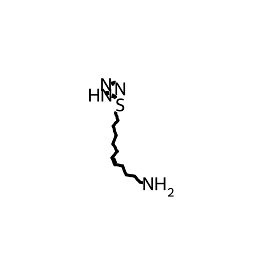 NCCCC/C=C\CCCCCCSc1ncn[nH]1